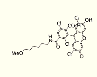 COCCCCCCNC(=O)c1cc(Cl)c(C(=O)O)c(-c2c3cc(Cl)c(=O)cc-3oc3cc(O)c(Cl)cc23)c1Cl